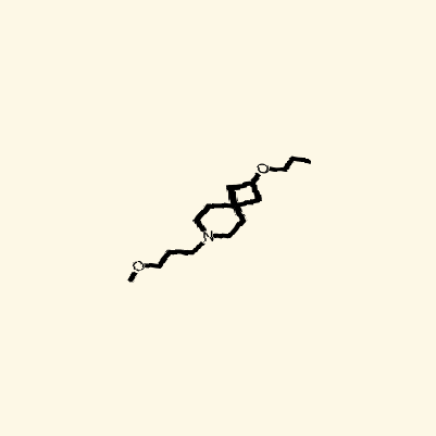 CCCOC1CC2(CCN(CCCOC)CC2)C1